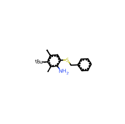 Cc1cc(SCc2ccccc2)c(N)c(C)c1C(C)(C)C